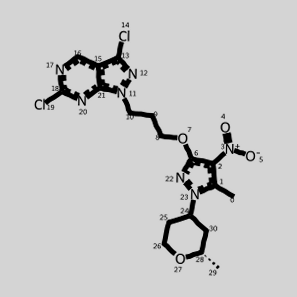 Cc1c([N+](=O)[O-])c(OCCCn2nc(Cl)c3cnc(Cl)nc32)nn1C1CCO[C@@H](C)C1